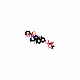 CC1(C)OC[C@H](CO[C@H]2CC[C@@]3(C)C(CC[C@@H]4[C@@H]3CC[C@@]3(C)[C@H]4CCCN3C(=O)[C@@H]3CCCCO3)C2)O1